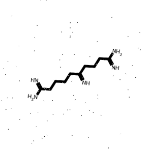 N=C(N)CCCCC(=N)CCCC(=N)N